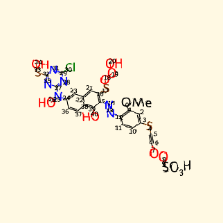 COc1cc(SC#COOS(=O)(=O)O)ccc1N=Nc1c(SOOO)cc2cc(N(O)c3nc(Cl)nc(SO)n3)ccc2c1O